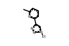 CCn1cc(-c2cccc(C)n2)nn1